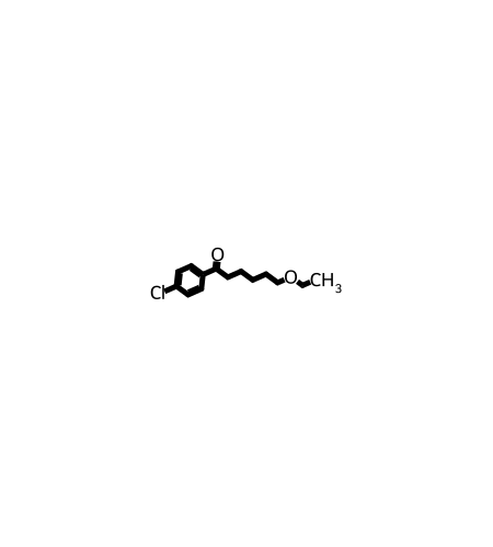 CCOCCCCCC(=O)c1ccc(Cl)cc1